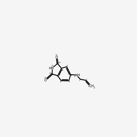 C=CCNc1ccc2c(c1)C(=O)NC2=O